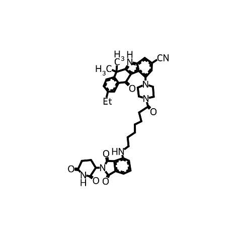 CCc1ccc2c(c1)C(=O)c1c([nH]c3cc(C#N)cc(N4CCN(C(=O)CCCCCCNc5cccc6c5C(=O)N(C5CCC(=O)NC5=O)C6=O)CC4)c13)C2(C)C